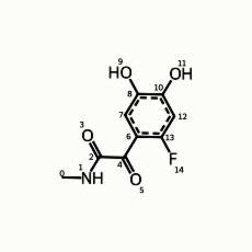 CNC(=O)C(=O)c1cc(O)c(O)cc1F